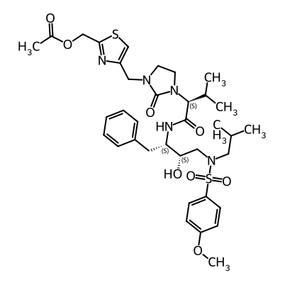 COc1ccc(S(=O)(=O)N(CC(C)C)C[C@H](O)[C@H](Cc2ccccc2)NC(=O)[C@H](C(C)C)N2CCN(Cc3csc(COC(C)=O)n3)C2=O)cc1